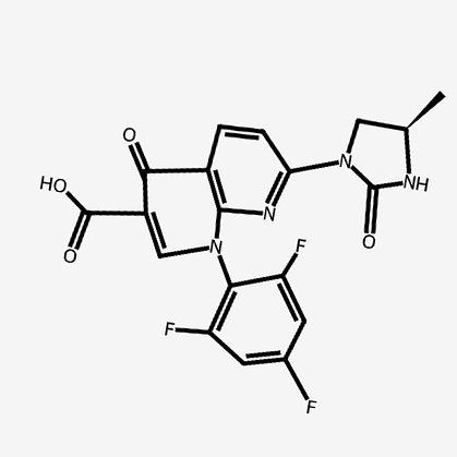 C[C@@H]1CN(c2ccc3c(=O)c(C(=O)O)cn(-c4c(F)cc(F)cc4F)c3n2)C(=O)N1